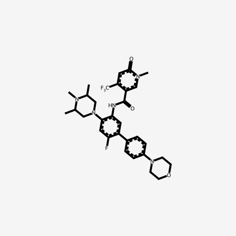 CC1CN(c2cc(F)c(-c3ccc(N4CCOCC4)cc3)cc2NC(=O)c2cn(C)c(=O)cc2C(F)(F)F)CC(C)N1C